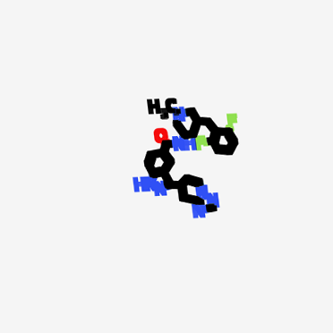 CN1CC(Cc2c(F)cccc2F)CC(NC(=O)c2ccc3[nH]nc(-c4ccn5ncnc5c4)c3c2)C1